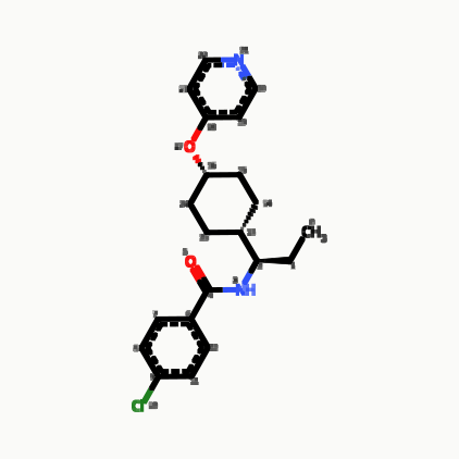 CC[C@@H](NC(=O)c1ccc(Cl)cc1)[C@H]1CC[C@@H](Oc2ccncc2)CC1